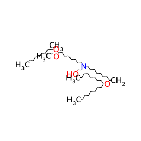 C=C(CCCCCCCN(CCO)CCCCCCCC(=O)OC(C)(CC)CCCCCCCC)OC(CCCCCCCC)CCCCCCCC